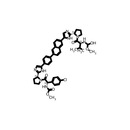 COC(=O)N[C@H](C(=O)N1CCC[C@H]1c1ncc(-c2ccc(-c3ccc4cc(-c5cnc([C@@H]6CCCN6C(=O)[C@@H](NC(O)OC)C(C)C)[nH]5)ccc4c3)cc2)[nH]1)c1ccc(Cl)cc1